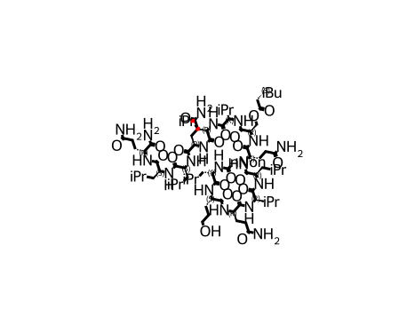 CCCCCCCCCC(=O)N[C@@H](CC(C)C)C(=O)N[C@@H](CCCO)C(=O)N[C@H](CCC(N)=O)C(=O)N[C@@H](C(=O)N[C@H](CC(C)C)C(=O)N[C@@H](CCC(N)=O)C(=O)N[C@H](COC(=O)C[C@@H](C)CC)C(=O)N[C@@H](C(=O)N[C@H](CC(C)C)C(=O)N[C@H](CCC(N)=O)C(=O)N[C@@H](CC(C)C)C(=O)N[C@@H](CC(C)C)C(=O)N[C@H](CCC(N)=O)C(N)=O)C(C)C)C(C)C